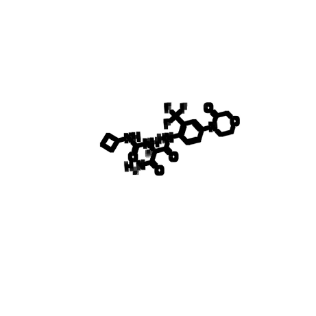 NC(=O)[C@@H](NC(=O)NC1CCC1)C(=O)Nc1ccc(N2CCOCC2=O)cc1C(F)(F)F